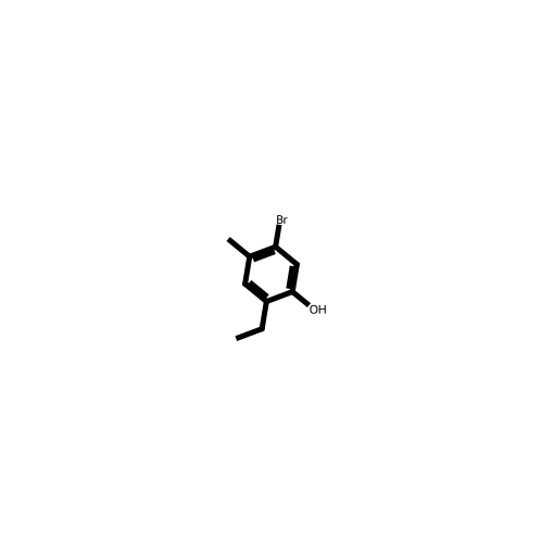 CCc1cc(C)c(Br)cc1O